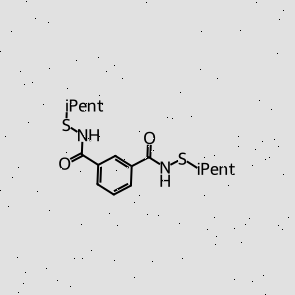 CCCC(C)SNC(=O)c1cccc(C(=O)NSC(C)CCC)c1